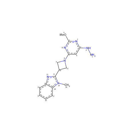 COc1nc(NN)cc(N2CC(c3nc4ccccc4n3C)C2)n1